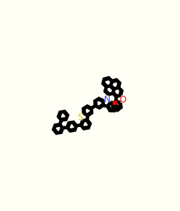 c1ccc(-c2ccccc2-c2ccc(-c3cccc4c3sc3ccc(-c5ccc6c(c5)c5ccccc5n6-c5cc6cccc7ccc8cc9oc%10ccccc%10c9c5c8c76)cc34)cc2)cc1